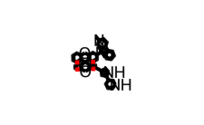 CN1C=Cc2c(n(C3C=CC4=C(C3)OC3CC=CC=C3C43C4=C(CCC=C4)Oc4cc(-c5c[nH]c(C6CC=CNC6)c5)ccc43)c3ccccc23)C1